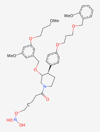 COCCCOc1cc(COC2CN(C(=O)CCCCON(O)O)CC[C@@H]2c2ccc(OCCCOCc3ccccc3OC)cc2)cc(OC)c1